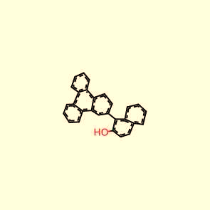 Oc1ccc2ccccc2c1-c1ccc2c3ccccc3c3ccccc3c2c1